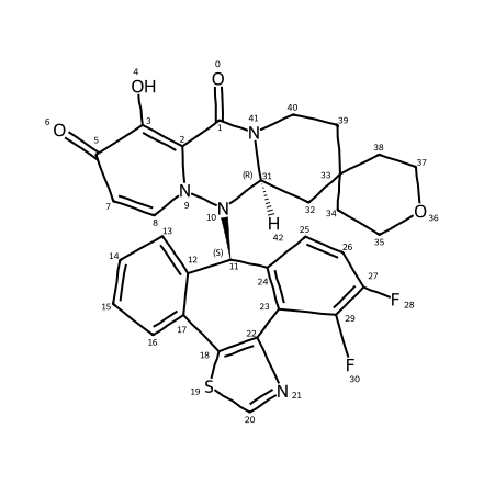 O=C1c2c(O)c(=O)ccn2N([C@@H]2c3ccccc3-c3scnc3-c3c2ccc(F)c3F)[C@@H]2CC3(CCOCC3)CCN12